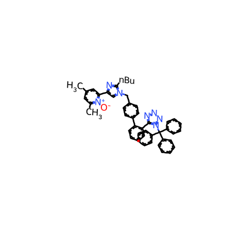 CCCCc1nc(-c2cc(C)cc(C)[n+]2[O-])cn1Cc1ccc(-c2ccccc2-c2nnnn2C(c2ccccc2)(c2ccccc2)c2ccccc2)cc1